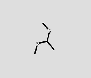 CS[C](C)SC